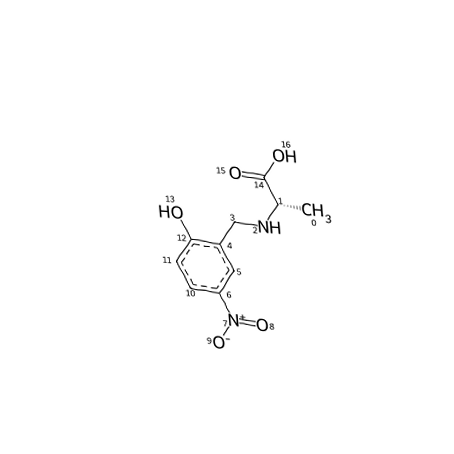 C[C@H](NCc1cc([N+](=O)[O-])ccc1O)C(=O)O